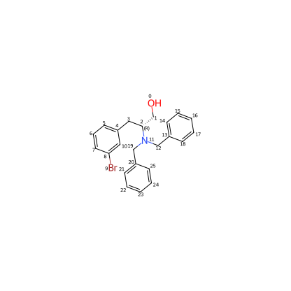 OC[C@@H](Cc1cccc(Br)c1)N(Cc1ccccc1)Cc1ccccc1